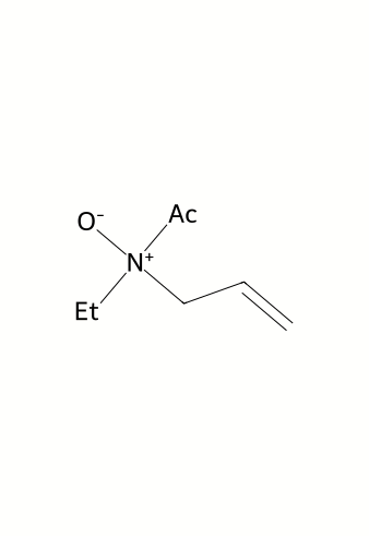 C=CC[N+]([O-])(CC)C(C)=O